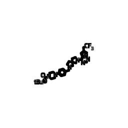 CC(C)(C)OC(=O)N1CCN(c2ccc(CN3CCC4(CCN(c5ncnn6cc(CC(F)(F)F)cc56)C4)C3)cc2)CC1